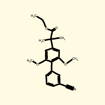 CCOC(=O)C(C)(C)c1cc(OC)c(-c2cccc(C#N)c2)c(OC)c1